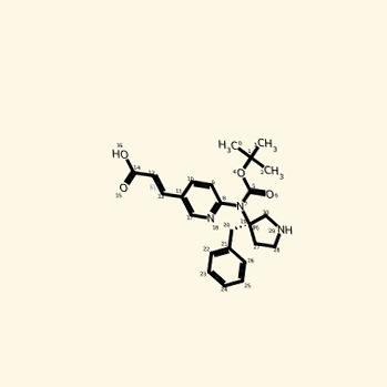 CC(C)(C)OC(=O)N(c1ccc(/C=C/C(=O)O)cn1)[C@]1(Cc2ccccc2)CCNC1